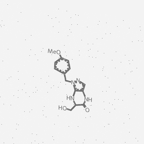 COc1ccc(Cn2ncc3c2NC(CO)C(=O)N3)cc1